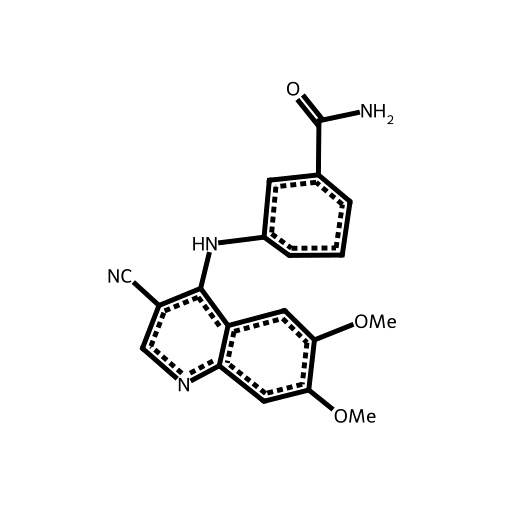 COc1cc2ncc(C#N)c(Nc3cccc(C(N)=O)c3)c2cc1OC